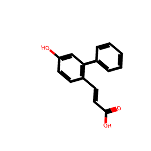 O=C(O)/C=C/c1ccc(O)cc1-c1ccccc1